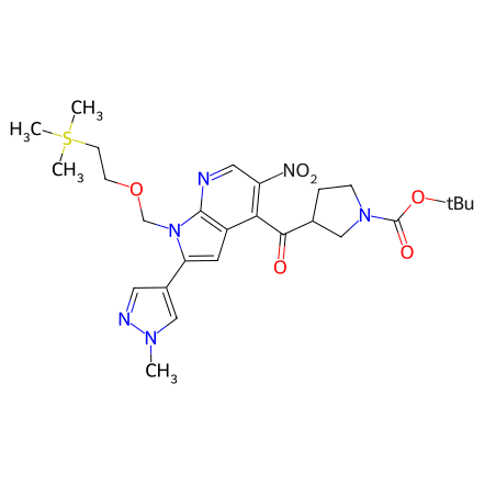 Cn1cc(-c2cc3c(C(=O)C4CCN(C(=O)OC(C)(C)C)C4)c([N+](=O)[O-])cnc3n2COCCS(C)(C)C)cn1